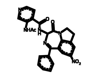 CC(=O)Nc1cnccc1C(=O)NC1N=C(c2ccccc2)c2cc([N+](=O)[O-])cc3c2N(CC3)C1=O